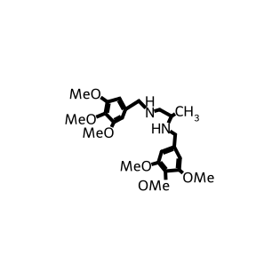 COc1cc(CNCC(C)NCc2cc(OC)c(OC)c(OC)c2)cc(OC)c1OC